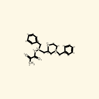 CC(=O)C(=O)ON(Cc1ccccc1)CC1CN(Cc2ccccc2)CCO1